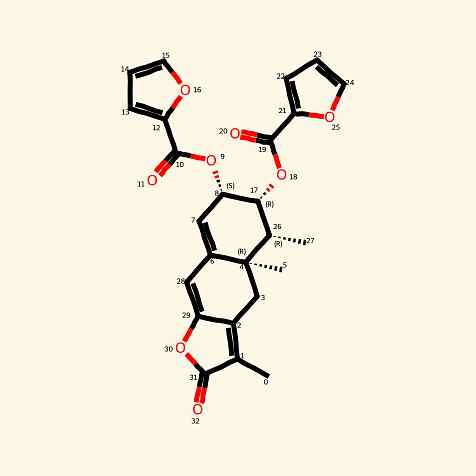 CC1=C2C[C@@]3(C)C(=C[C@H](OC(=O)c4ccco4)[C@H](OC(=O)c4ccco4)[C@@H]3C)C=C2OC1=O